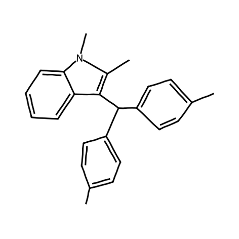 Cc1ccc(C(c2ccc(C)cc2)c2c(C)n(C)c3ccccc23)cc1